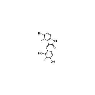 Cc1c(O)ccc(C=C2C(=O)Nc3ccc(Br)c(C)c32)c1O